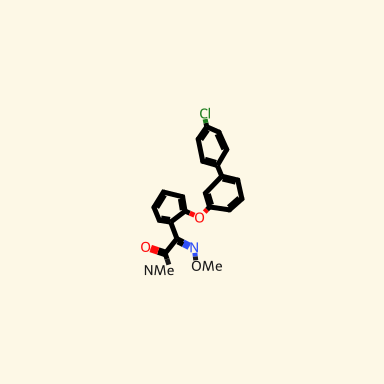 CNC(=O)C(=NOC)c1ccccc1Oc1cccc(-c2ccc(Cl)cc2)c1